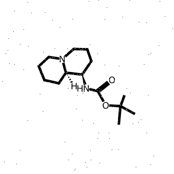 CC(C)(C)OC(=O)N[C@@H]1CCCN2CCCC[C@H]12